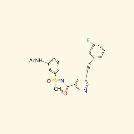 CC(=O)Nc1cccc(S(C)(=O)=NC(=O)c2cncc(C#Cc3cccc(F)c3)c2)c1